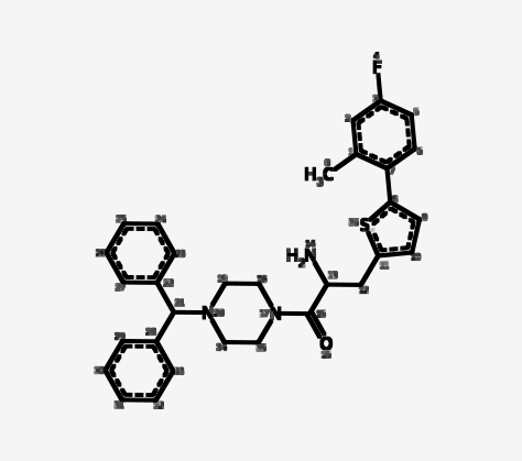 Cc1cc(F)ccc1-c1ccc(CC(N)C(=O)N2CCN(C(c3ccccc3)c3ccccc3)CC2)s1